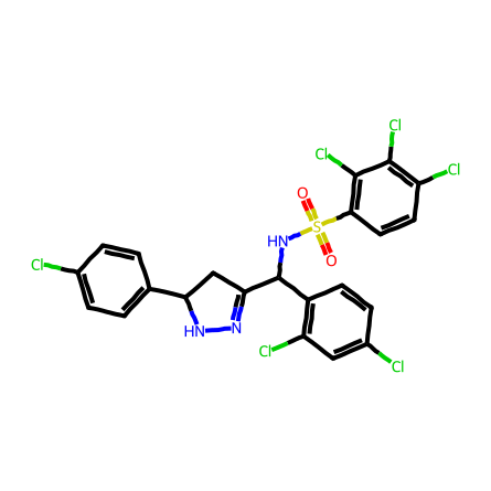 O=S(=O)(NC(C1=NNC(c2ccc(Cl)cc2)C1)c1ccc(Cl)cc1Cl)c1ccc(Cl)c(Cl)c1Cl